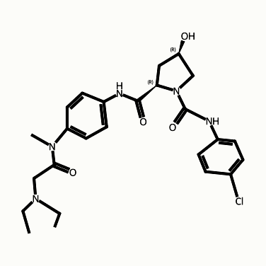 CCN(CC)CC(=O)N(C)c1ccc(NC(=O)[C@H]2C[C@@H](O)CN2C(=O)Nc2ccc(Cl)cc2)cc1